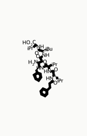 CC[C@H](C)[C@H](NC(=O)C[C@H](N)[C@H](Cc1ccccc1)NC(=O)C(NC(=O)[C@H](CC(C)C)NC(=O)CCc1ccccc1)C(C)C)C(=O)NC(C(=O)O)C(C)C